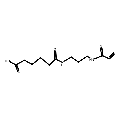 C=CC(=O)NCCCNC(=O)CCCCC(=O)O